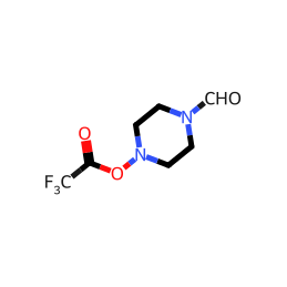 O=CN1CCN(OC(=O)C(F)(F)F)CC1